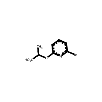 CC(Oc1cccc(Br)n1)C(=O)O